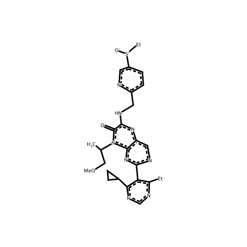 CCc1ncnc(C2CC2)c1-c1ncc2nc(NCc3ccc([S+]([O-])CC)cn3)c(=O)n(C(C)COC)c2n1